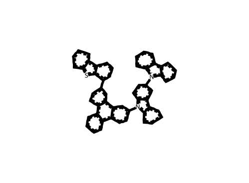 c1ccc2c(c1)sc1c(-c3ccc4c5ccccc5c5ccc(-n6c7ccccc7c7cc(-n8c9ccccc9c9ccccc98)ccc76)cc5c4c3)cccc12